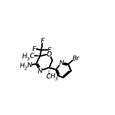 C[C@@]1(c2cccc(Br)n2)CO[C@@](C)(C(F)(F)F)C(N)=N1